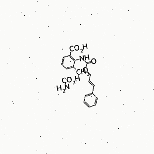 Cc1cccc(C(=O)O)c1NC(=O)OCC=Cc1ccccc1.NC(=O)O